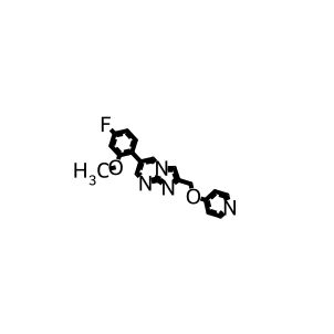 COc1cc(F)ccc1-c1cnc2nc(COc3ccncc3)cn2c1